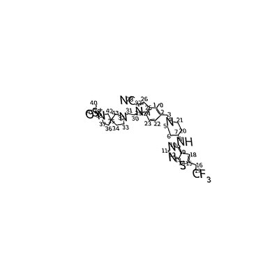 Cc1c(CN2CCC(Nc3ncnc4sc(CC(F)(F)F)cc34)CC2)ccc2c1cc(C#N)n2CCN1CCC2(CCN([S+](C)[O-])C2)C1